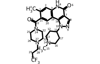 Cc1cc2[nH]c(=O)c3cnn(C4CCN(C)CC4)c3c2cc1C(=O)N1CCN(CCC(F)(F)F)CC1